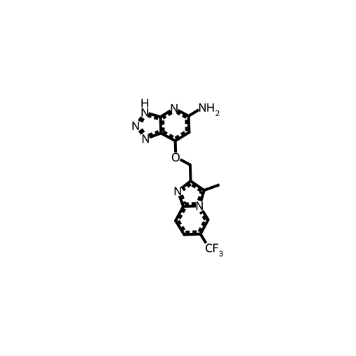 Cc1c(COc2cc(N)nc3[nH]nnc23)nc2ccc(C(F)(F)F)cn12